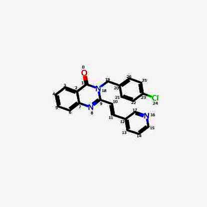 O=c1c2ccccc2nc(C=Cc2cccnc2)n1Cc1ccc(Cl)cc1